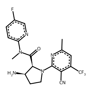 Cc1cc(C(F)(F)F)c(C#N)c(N2CC[C@@H](N)[C@H]2C(=O)N(C)c2ccc(F)cn2)n1